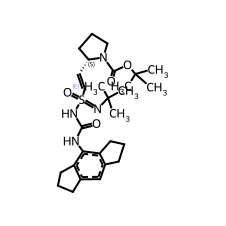 CC(C)(C)N=S(=O)(/C=C/[C@@H]1CCCN1C(=O)OC(C)(C)C)NC(=O)Nc1c2c(cc3c1CCC3)CCC2